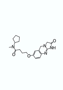 CN(C(=O)CCCOc1ccc2c(c1)CN1CC(=O)NC1=N2)C1CCCC1